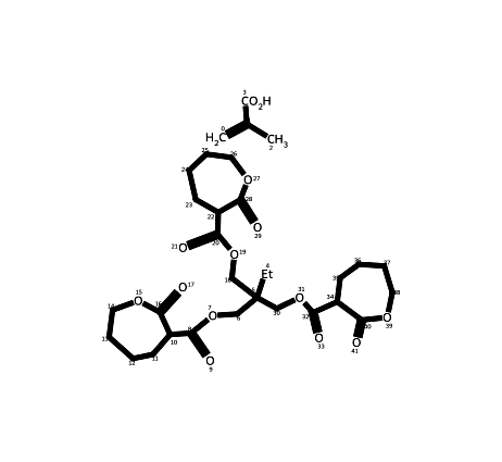 C=C(C)C(=O)O.CCC(COC(=O)C1CCCCOC1=O)(COC(=O)C1CCCCOC1=O)COC(=O)C1CCCCOC1=O